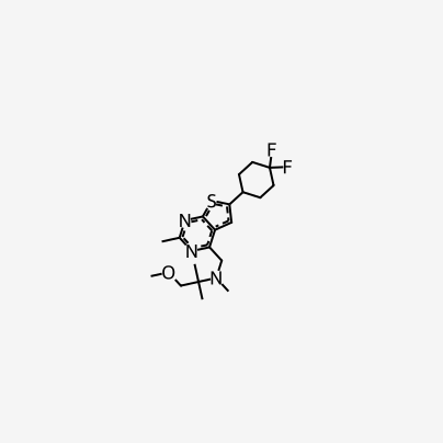 COCC(C)(C)N(C)Cc1nc(C)nc2sc(C3CCC(F)(F)CC3)cc12